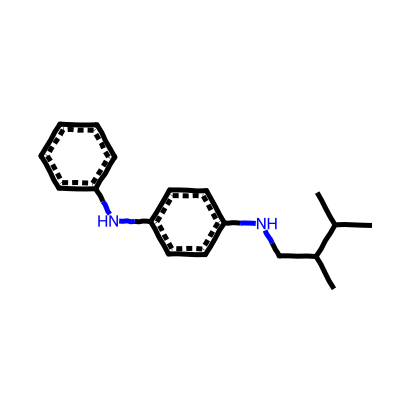 CC(C)C(C)CNc1ccc(Nc2ccccc2)cc1